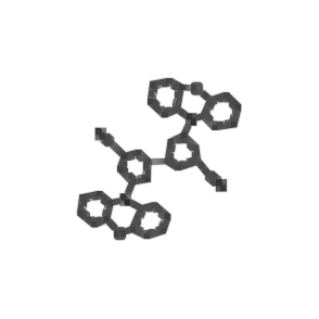 N#Cc1cc(-c2cc(C#N)cc(N3c4ccccc4Oc4ccccc43)c2)cc(N2c3ccccc3Oc3ccccc32)c1